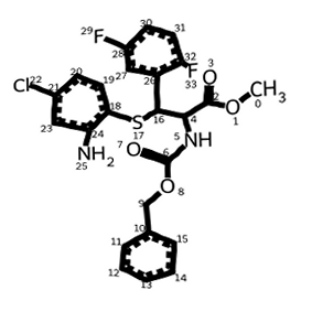 COC(=O)C(NC(=O)OCc1ccccc1)C(Sc1ccc(Cl)cc1N)c1cc(F)ccc1F